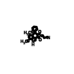 COc1cccc2c(C3=C(c4cn(C)c5ccccc45)C(=O)N(CCC#N)C3=O)c[nH]c12